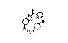 NC1CCC(Nc2cccc(Nc3nc4ccc(Br)cc4s3)n2)CC1